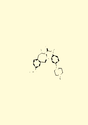 C[C@@H]1Cc2ccc(OC(F)(F)F)cc2C=NN1C(=O)N(C)c1ccc(N2CCN(C)CC2)cc1